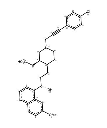 COc1ccc2nccc([C@@H](O)CC[C@@H]3CCN(CC#Cc4ccc(Cl)cc4)C[C@@H]3CC(=O)O)c2c1